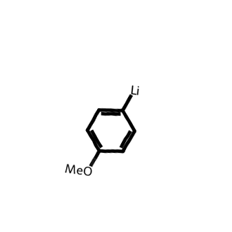 [Li][c]1ccc(OC)cc1